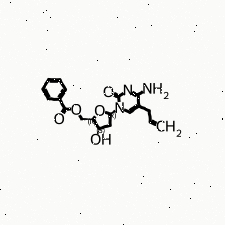 C=CCc1cn([C@H]2C[C@H](O)[C@@H](COC(=O)c3ccccc3)O2)c(=O)nc1N